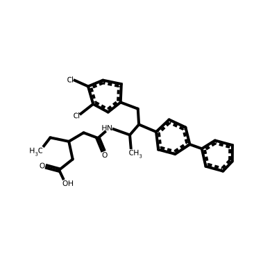 CCC(CC(=O)O)CC(=O)NC(C)C(Cc1ccc(Cl)c(Cl)c1)c1ccc(-c2ccccc2)cc1